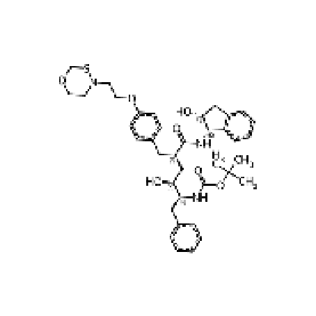 CC(C)(C)OC(=O)N[C@@H](Cc1ccccc1)[C@@H](O)C[C@@H](Cc1ccc(OCCN2CCOCS2)cc1)C(=O)N[C@H]1c2ccccc2C[C@H]1O